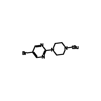 CC(C)(C)N1CCN(c2ncc(Br)cn2)CC1